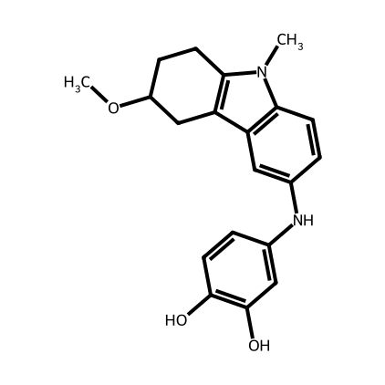 COC1CCc2c(c3cc(Nc4ccc(O)c(O)c4)ccc3n2C)C1